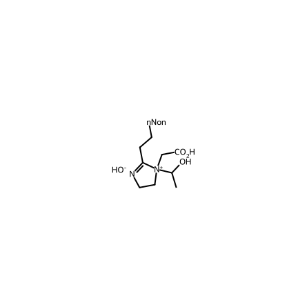 CCCCCCCCCCCC1=NCC[N+]1(CC(=O)O)C(C)O.[OH-]